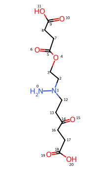 NN(CCOC(=O)CCC(=O)O)CCC(=O)CCC(=O)O